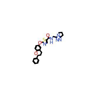 O=C(NCc1nnc2n1CCC2)c1cnc(Oc2ccc3c(c2)CCC(c2ccccc2)O3)s1